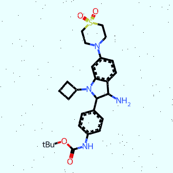 CC(C)(C)OC(=O)Nc1ccc(C2C(N)c3ccc(N4CCS(=O)(=O)CC4)cc3N2C2CCC2)cc1